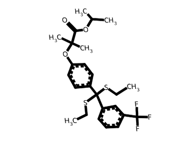 CCSC(SCC)(c1ccc(OC(C)(C)C(=O)OC(C)C)cc1)c1cccc(C(F)(F)F)c1